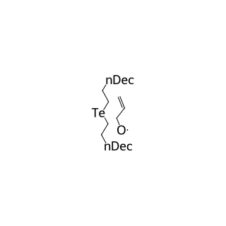 C=CC[O].CCCCCCCCCCCC[Te]CCCCCCCCCCCC